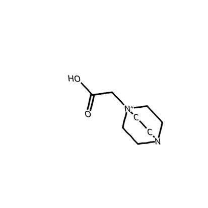 O=C(O)C[N+]12CCN(CC1)CC2